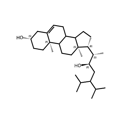 CC(C)C(C[C@@H](O)[C@@H](C)[C@H]1CCC2C3CC=C4C[C@@H](O)CC[C@]4(C)C3CC[C@@]21C)C(C)C